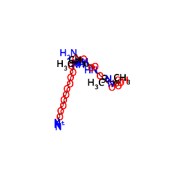 CCc1c2c(nc3ccc(OCCCNC(=O)OCc4ccc(NC(=O)[C@H](CCCCN)NC(=O)[C@@H](NC(=O)CCOCCOCCOCCOCCOCCOCCOCCOCCOCCN=[N+]=[N-])C(C)C)cc4)cc13)-c1cc3c(c(=O)n1C2)COC(=O)[C@]3(O)CC